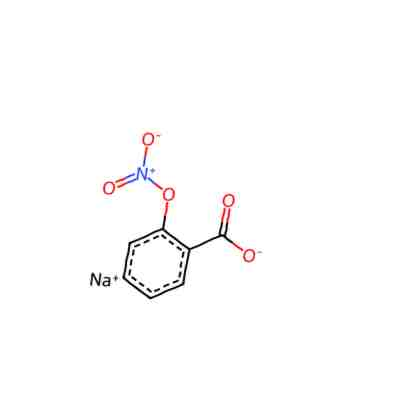 O=C([O-])c1ccccc1O[N+](=O)[O-].[Na+]